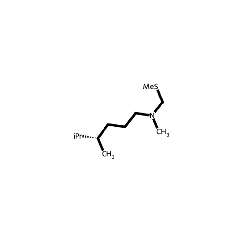 CSCN(C)CCC[C@H](C)C(C)C